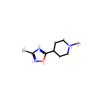 CCc1noc(C2CCN(C(C)C)CC2)n1